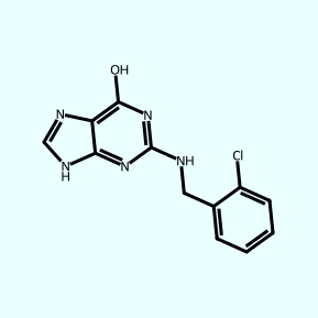 Oc1nc(NCc2ccccc2Cl)nc2[nH]cnc12